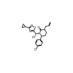 C=CCC1CCC(c2ccc(Cl)cc2)N([C@@H](CC)c2nc(C3CC3)no2)C1=O